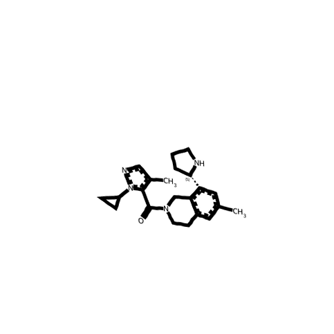 Cc1cc2c(c([C@@H]3CCCN3)c1)CN(C(=O)c1c(C)cnn1C1CC1)CC2